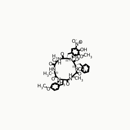 COc1ccc(CC2C(=O)N[C@@H](C)C(=O)N(C)[C@@H](Cc3ccccc3)C(=O)N(C)[C@@H](Cc3cc(OC)c(O)c([N+](=O)[O-])c3)C(=O)N[C@H](C)C(=O)N[C@@H](C)C(=O)N2C)cc1